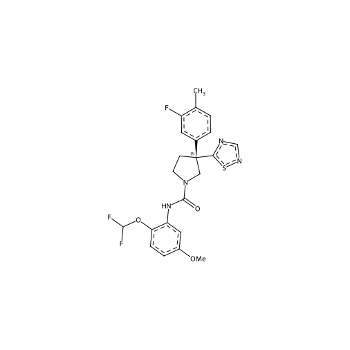 COc1ccc(OC(F)F)c(NC(=O)N2CC[C@](c3ccc(C)c(F)c3)(c3ncns3)C2)c1